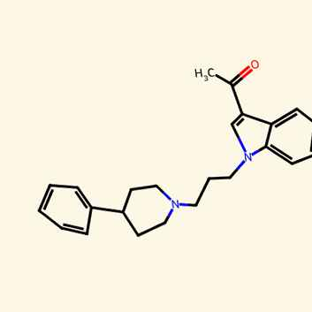 CC(=O)c1cn(CCCN2CCC(c3ccccc3)CC2)c2ccccc12